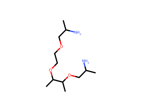 CC(N)COCCOC(C)C(C)OCC(C)N